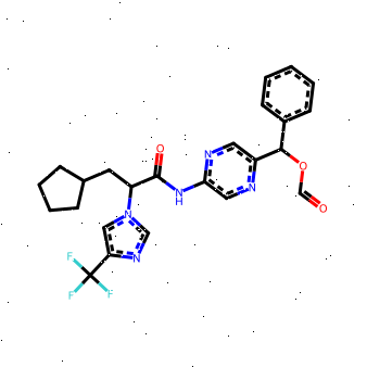 O=COC(c1ccccc1)c1cnc(NC(=O)C(CC2CCCC2)n2cnc(C(F)(F)F)c2)cn1